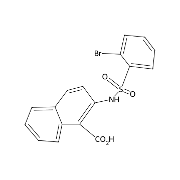 O=C(O)c1c(NS(=O)(=O)c2ccccc2Br)ccc2ccccc12